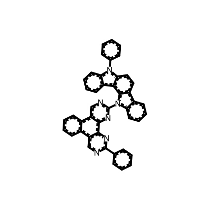 c1ccc(-c2ncc3c4ccccc4c4cnc(-n5c6ccccc6c6ccc7c(c8ccccc8n7-c7ccccc7)c65)nc4c3n2)cc1